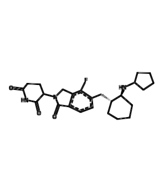 O=C1CCC(N2Cc3c(ccc(C[C@H]4CCCC[C@@H]4NC4CCCC4)c3F)C2=O)C(=O)N1